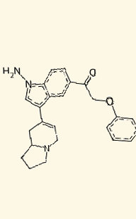 Nn1cc(C2=CCN3CCCC3C2)c2cc(C(=O)COc3ccccc3)ccc21